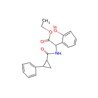 CCOC(=O)C(NC(=O)C1CC1c1ccccc1)c1ccccc1O